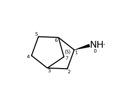 [NH][C@H]1CC2CCC1C2